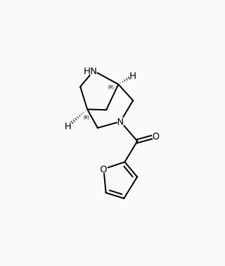 O=C(c1ccco1)N1C[C@H]2CN[C@H](C2)C1